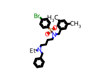 CCN(CCCCN(Cc1cc(C)cc(C)c1)S(=O)(=O)c1ccc(Br)cc1)Cc1ccccc1